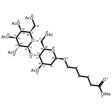 COC(=O)CCCCCO[C@H]1C[C@@H](OC(C)=O)[C@H](O[C@@H]2O[C@H](COC(C)=O)[C@H](OC(C)=O)[C@H](OC(C)=O)[C@H]2OC(C)=O)[C@@H](COC(C)=O)O1